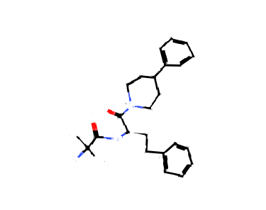 CC(C)(N)C(=O)N[C@H](CCc1ccccc1)C(=O)N1CCC(c2ccccc2)CC1